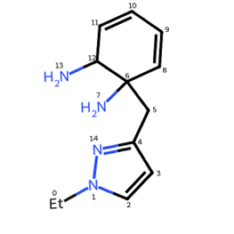 CCn1ccc(CC2(N)C=CC=CC2N)n1